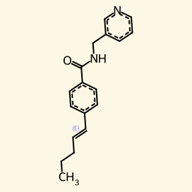 CCC/C=C/c1ccc(C(=O)NCc2cccnc2)cc1